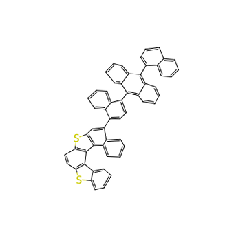 c1ccc2c(-c3c4ccccc4c(-c4ccc(-c5cc6sc7ccc8sc9ccccc9c8c7c6c6ccccc56)c5ccccc45)c4ccccc34)cccc2c1